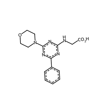 O=C(O)CNc1nc(-c2ccccc2)nc(N2CCOCC2)n1